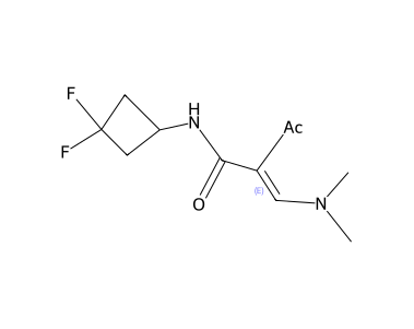 CC(=O)/C(=C\N(C)C)C(=O)NC1CC(F)(F)C1